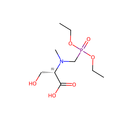 CCOP(=O)(CN(C)[C@@H](CO)C(=O)O)OCC